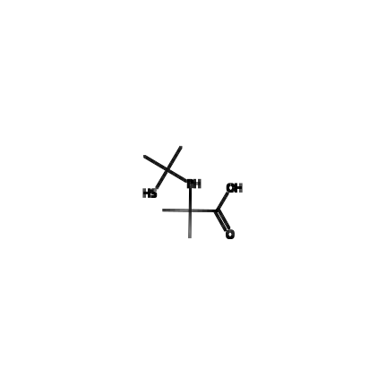 CC(C)(S)BC(C)(C)C(=O)O